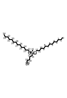 CCCCCCCCCCCCCO[Si](C)(CCCCBr)OCCCCCCCCCCCCC